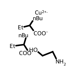 CCCCC(CC)C(=O)[O-].CCCCC(CC)C(=O)[O-].NCCO.[Cu+2]